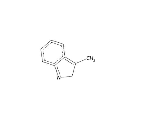 CC1=c2ccccc2=NC1